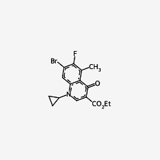 CCOC(=O)c1cn(C2CC2)c2cc(Br)c(F)c(C)c2c1=O